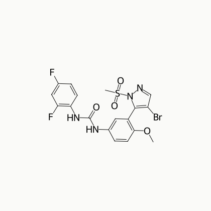 COc1ccc(NC(=O)Nc2ccc(F)cc2F)cc1-c1c(Br)cnn1S(C)(=O)=O